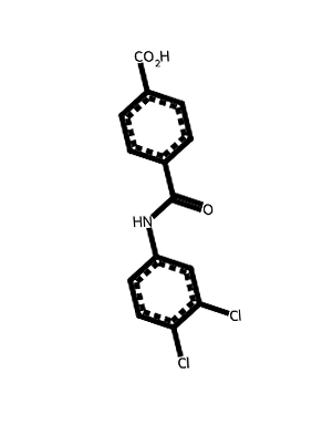 O=C(O)c1ccc(C(=O)Nc2ccc(Cl)c(Cl)c2)cc1